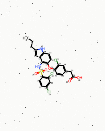 CCCc1cc2c(NS(=O)(=O)c3ccc(Cl)cc3Cl)c(Oc3ccc(CC(=O)O)cc3Cl)ccc2[nH]1